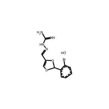 Cl.N=C(N)NN=CC1=COC(c2ccccc2Br)O1